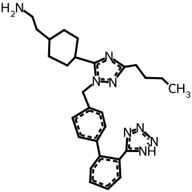 CCCCc1nc(C2CCC(CCN)CC2)n(Cc2ccc(-c3ccccc3-c3nnn[nH]3)cc2)n1